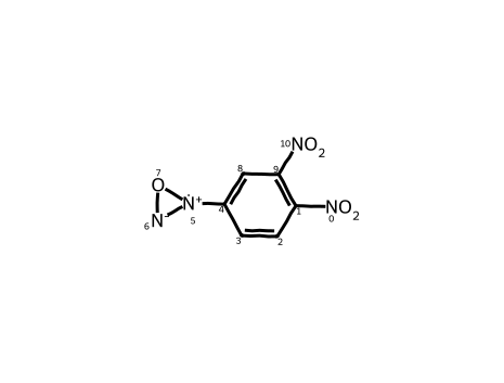 O=[N+]([O-])c1ccc([N+]2[N-]O2)cc1[N+](=O)[O-]